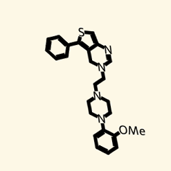 COc1ccccc1N1CCN(CCN2C=Nc3csc(-c4ccccc4)c3C2)CC1